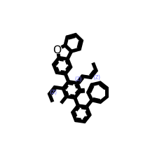 C=c1c(-c2ccccc2C2=CCC=CC=C2)c(C)c(/C=C\C)c(-c2ccc3c(c2)C2C=CC=CC2O3)/c1=C/C=C\C